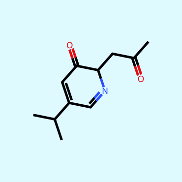 CC(=O)CC1N=CC(C(C)C)=CC1=O